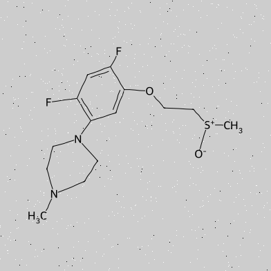 CN1CCN(c2cc(OCC[S+](C)[O-])c(F)cc2F)CC1